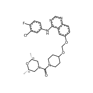 C[C@@H]1CN(C(=O)N2CCC(OCOc3ccc4ncnc(Nc5ccc(F)c(Cl)c5)c4c3)CC2)C[C@H](C)O1